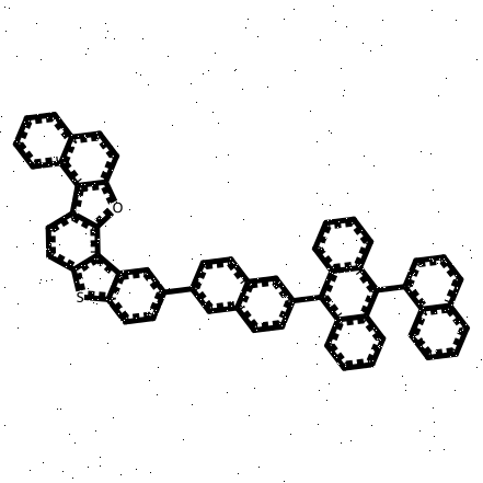 c1ccc2c(-c3c4ccccc4c(-c4ccc5cc(-c6ccc7sc8ccc9c(oc%10ccc%11ccccc%11c%109)c8c7c6)ccc5c4)c4ccccc34)cccc2c1